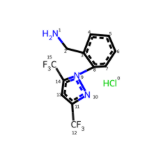 Cl.NCc1ccccc1-n1nc(C(F)(F)F)cc1C(F)(F)F